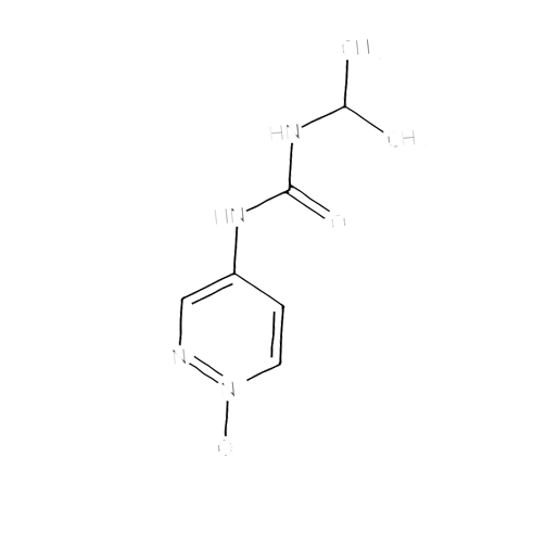 CC(C)NC(=O)Nc1cc[n+]([O-])nc1